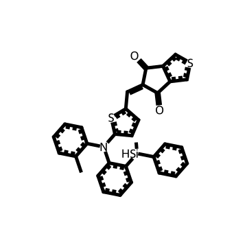 Cc1ccccc1N(c1ccc(C=C2C(=O)c3cscc3C2=O)s1)c1ccccc1[SiH](C)c1ccccc1